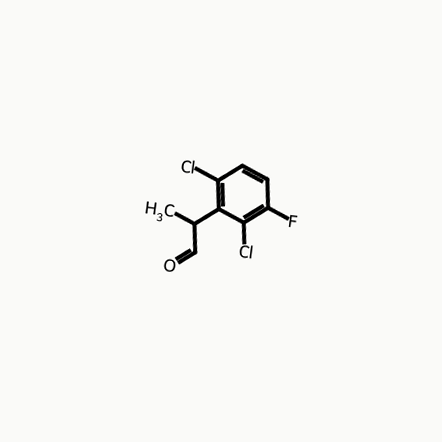 CC(C=O)c1c(Cl)ccc(F)c1Cl